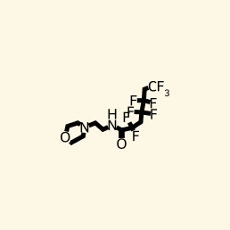 O=C(NCCN1CCOCC1)C(F)(F)CC(F)(F)C(F)(F)CC(F)(F)F